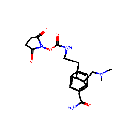 CN(C)CC1c2ccc(cc2C(N)=O)C1CCNC(=O)ON1C(=O)CCC1=O